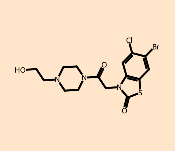 O=C(Cn1c(=O)sc2cc(Br)c(Cl)cc21)N1CCN(CCO)CC1